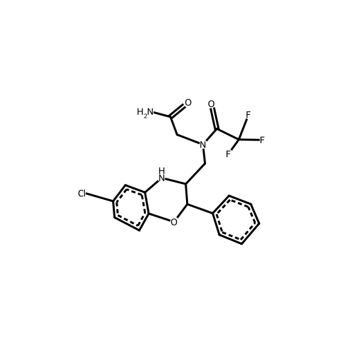 NC(=O)CN(CC1Nc2cc(Cl)ccc2OC1c1ccccc1)C(=O)C(F)(F)F